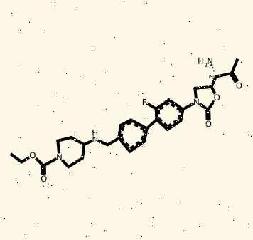 CCOC(=O)N1CCC(NCc2ccc(-c3ccc(N4CC([C@H](N)C(C)=O)OC4=O)cc3F)cc2)CC1